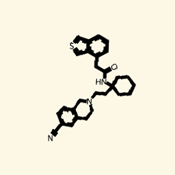 N#Cc1ccc2c(c1)CCN(CCC1(NC(=O)Cc3cccc4cscc34)CCCCC1)C2